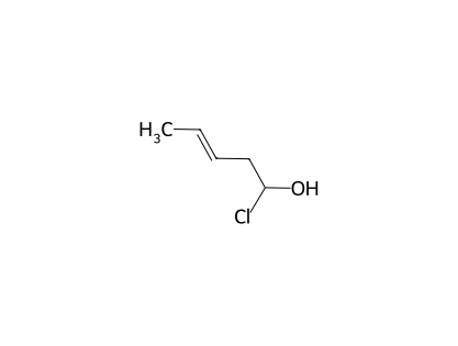 CC=CCC(O)Cl